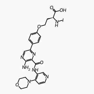 Nc1ncc(-c2ccc(OCC[C@H](NI)C(=O)O)cc2)nc1C(=O)Nc1cnccc1N1CCOCC1